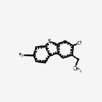 CCc1cc2c(cc1Cl)sc1cc(Br)ccc12